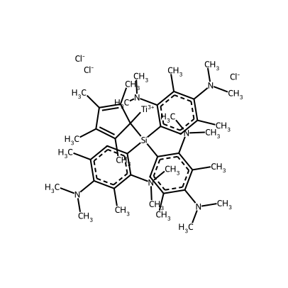 CC1=C(C)[C]([Ti+3])([Si](c2cc(C)c(N(C)C)c(C)c2N(C)C)(c2cc(C)c(N(C)C)c(C)c2N(C)C)c2cc(C)c(N(C)C)c(C)c2N(C)C)C(C)=C1C.[Cl-].[Cl-].[Cl-]